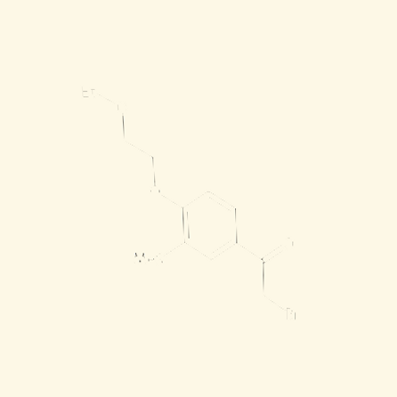 CCOCCOc1ccc(C(=O)CBr)cc1SC